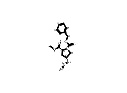 COC(=O)[C@@H]1C[C@@H](N=[N+]=[N-])CN1C(=O)OCc1ccccc1